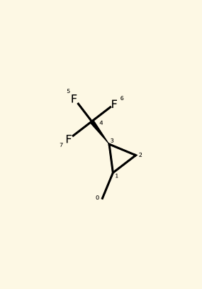 CC1C[C@@H]1C(F)(F)F